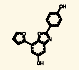 Oc1ccc(-c2nc3cc(O)cc(-c4ccco4)c3o2)cc1